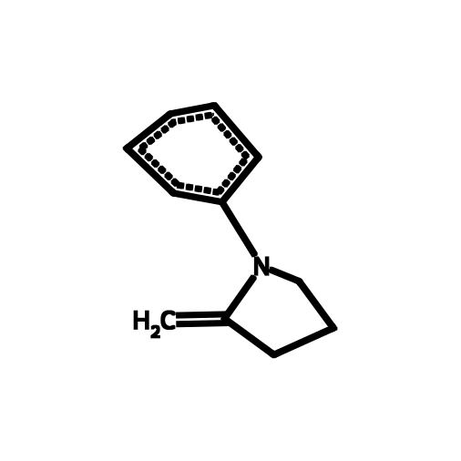 C=C1CCCN1c1ccccc1